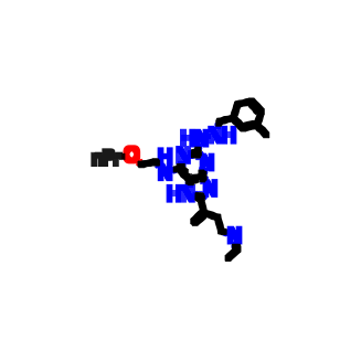 C=C(CC/N=C\C)c1nc2nc(NNCC3C=C(C)C=CC3)nc(NCCOCCC)c2[nH]1